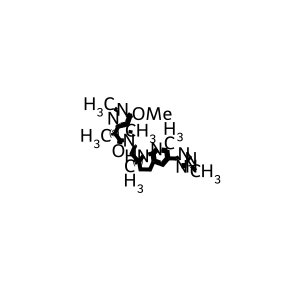 COc1cc([C@H](C)C(=O)N(C)CC[C@@]2(C)CCc3cc(-c4nnn(C)n4)c(C)nc3N2)nc(C)n1